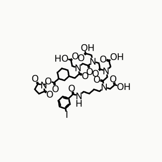 O=C(O)CN(CCCCNC(=O)c1cccc(I)c1)C(=O)CN(CC(=O)O)C(=O)CN(CC(=O)O)C(=O)CN(CC(=O)O)C(=O)CC1CCCC(C(=O)ON2C(=O)CCC2=O)C1